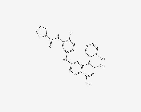 CCN(c1ccccc1O)c1cc(Nc2ccc(F)c(NC(=O)N3CCCC3)c2)ncc1C(N)=O